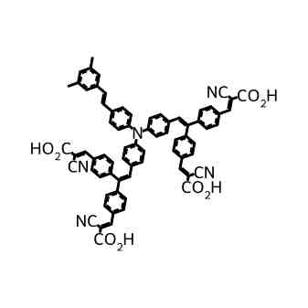 Cc1cc(C)cc(/C=C/c2ccc(N(c3ccc(C=C(c4ccc(/C=C(\C#N)C(=O)O)cc4)c4ccc(/C=C(\C#N)C(=O)O)cc4)cc3)c3ccc(C=C(c4ccc(/C=C(\C#N)C(=O)O)cc4)c4ccc(/C=C(\C#N)C(=O)O)cc4)cc3)cc2)c1